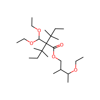 CCOC(C)C(C)COC(=O)C(C(OCC)OCC)(C(C)(C)CC)C(C)(C)CC